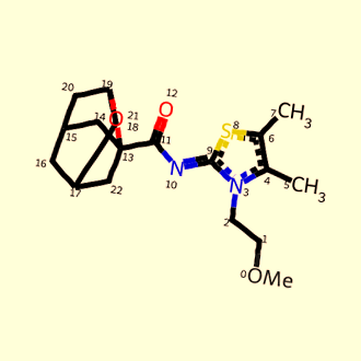 COCCn1c(C)c(C)s/c1=N\C(=O)C12CC3CC(CC(C3)O1)C2